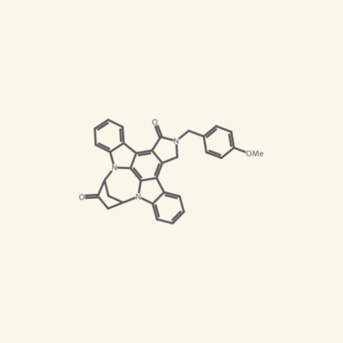 COc1ccc(CN2Cc3c(c4c5ccccc5n5c4c4c3c3ccccc3n4C3CC(=O)C5C3)C2=O)cc1